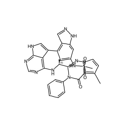 Cc1ccn2nc([C@H](C)Nc3ncnc4[nH]cc(-c5cc(NS(C)(=O)=O)cc6[nH]ncc56)c34)n(-c3ccccc3)c(=O)c12